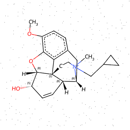 COc1ccc2c3c1O[C@H]1[C@@H](O)C=C[C@H]4[C@@H](C2)[N+](C)(CC2CC2)CC[C@@]341